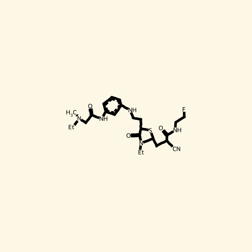 CCN(C)CC(=O)Nc1cccc(NCCC2SC(CC(C#N)C(=O)NCCF)N(CC)C2=O)c1